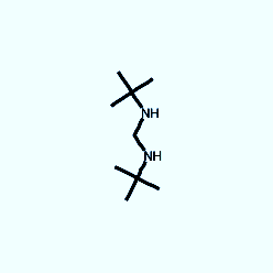 CC(C)(C)NCNC(C)(C)C